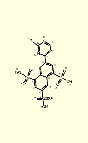 O=S(=O)(O)c1cc(S(=O)(=O)O)c2cc(-c3n[c]nc(F)n3)cc(S(=O)(=O)O)c2c1